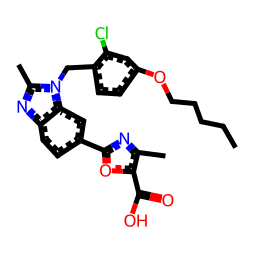 CCCCCOc1ccc(Cn2c(C)nc3ccc(-c4nc(C)c(C(=O)O)o4)cc32)c(Cl)c1